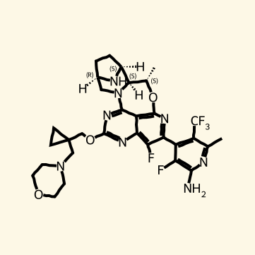 Cc1nc(N)c(F)c(-c2nc3c4c(nc(OCC5(CN6CCOCC6)CC5)nc4c2F)N2C[C@H]4CC[C@H](N4)[C@H]2[C@H](C)O3)c1C(F)(F)F